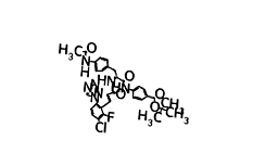 CC(=O)Nc1ccc(C[C@H](NC(=O)/C=C/c2c(-n3cnnn3)ccc(Cl)c2F)C(=O)Nc2ccc(C(=O)OC(C)(C)C)cc2)cc1